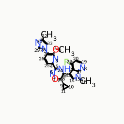 COc1nc(C2=NO[C@H](C3CC3)[C@H](c3cn(C)c4nccc(F)c34)N2)ccc1-n1cnc(C)c1